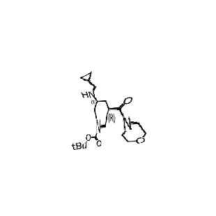 CC(C)(C)OC(=O)N1C[C@@H](NCC2CC2)C[C@@H](C(=O)N2CCOCC2)C1